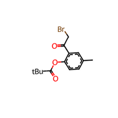 Cc1ccc(OC(=O)C(C)(C)C)c(C(=O)CBr)c1